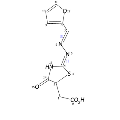 O=C(O)CC1S/C(=N/N=C/c2ccco2)NC1=O